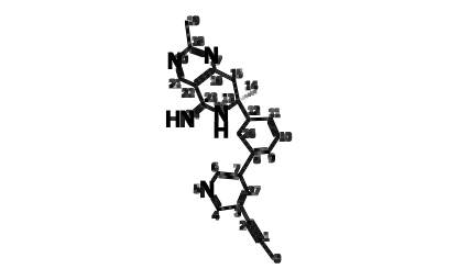 CC#Cc1cncc(C2=CC=CC([C@]3(C)Cc4nc(C)ncc4C(=N)N3)C2)c1